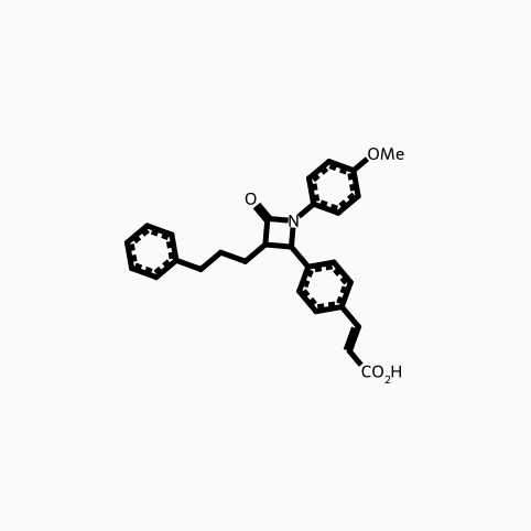 COc1ccc(N2C(=O)C(CCCc3ccccc3)C2c2ccc(/C=C/C(=O)O)cc2)cc1